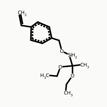 C=Cc1ccc(CO[SiH2]C(C)(OCC)OCC)cc1